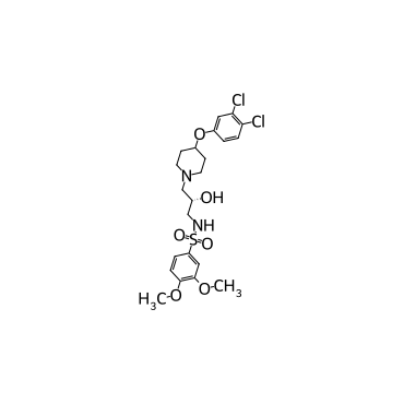 COc1ccc(S(=O)(=O)NC[C@@H](O)CN2CCC(Oc3ccc(Cl)c(Cl)c3)CC2)cc1OC